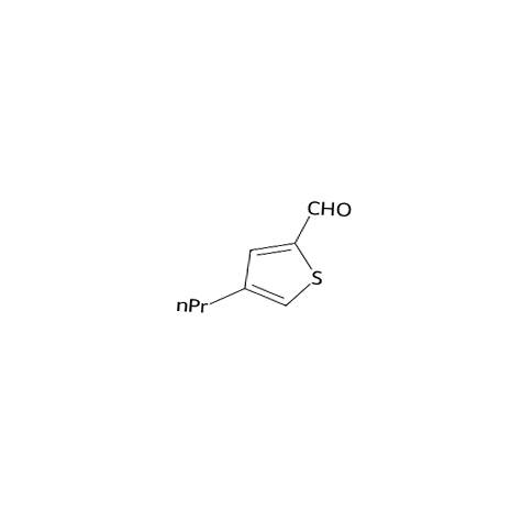 CCCc1csc(C=O)c1